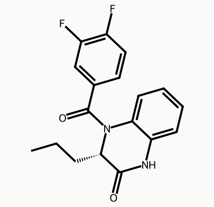 CCC[C@H]1C(=O)Nc2ccccc2N1C(=O)c1ccc(F)c(F)c1